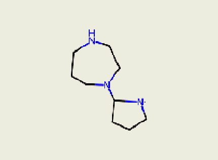 C1C[N]C(N2CCCNCC2)C1